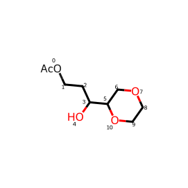 CC(=O)OCCC(O)C1COCCO1